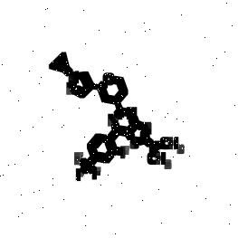 CN(C)c1nc2nc([C@@H]3CCO[C@H](c4cnn(C5CC5)c4)C3)nc(-c3ccc(C(F)(F)F)cc3F)c2s1